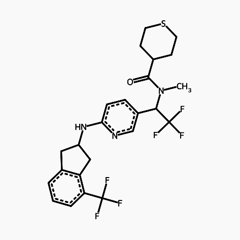 CN(C(=O)C1CCSCC1)C(c1ccc(NC2Cc3cccc(C(F)(F)F)c3C2)nc1)C(F)(F)F